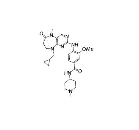 COc1cc(C(=O)NC2CCN(C)CC2)ccc1Nc1ncc2c(n1)N(CC1CC1)CCC(=O)N2C